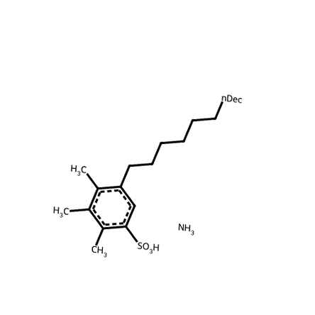 CCCCCCCCCCCCCCCCc1cc(S(=O)(=O)O)c(C)c(C)c1C.N